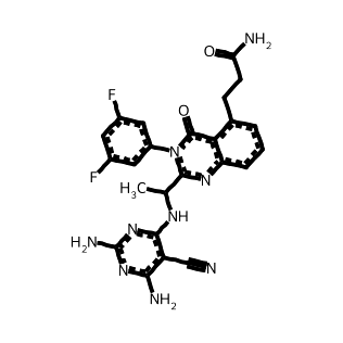 CC(Nc1nc(N)nc(N)c1C#N)c1nc2cccc(CCC(N)=O)c2c(=O)n1-c1cc(F)cc(F)c1